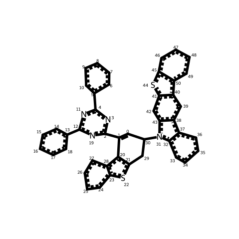 C1=C(c2nc(-c3ccccc3)nc(-c3ccccc3)n2)c2c(sc3ccccc23)CC1n1c2ccccc2c2cc3c(cc21)sc1ccccc13